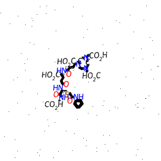 O=C(O)CNC(=O)[C@H](CSCC(=O)Nc1ccccc1)NC(=O)CC[C@H](NC(=O)CCC(C(=O)O)N1CCN(CC(=O)O)CCN(CC(=O)O)CC1)C(=O)O